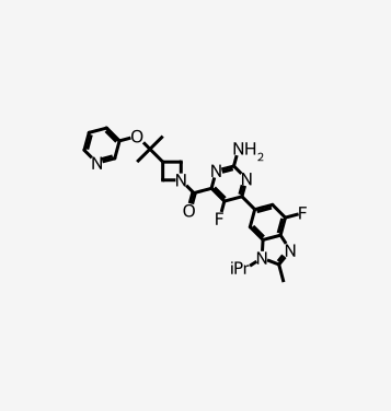 Cc1nc2c(F)cc(-c3nc(N)nc(C(=O)N4CC(C(C)(C)Oc5cccnc5)C4)c3F)cc2n1C(C)C